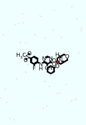 Cc1c(Nc2ccc(S(C)(=O)=O)cc2F)ncnc1OC1CC2COC[C@@H](C1)N2C(=O)OC1CCCCC1